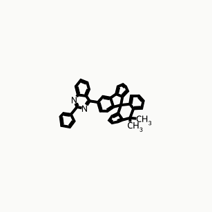 CC1(C)c2ccccc2C2(c3ccccc3-c3cc(-c4nc(-c5ccccc5)nc5ccccc45)ccc32)c2ccccc21